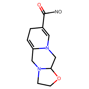 O=NC(=O)C1=CN2CC3OCCN3CC2=CC1